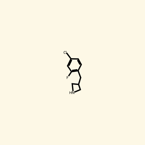 Fc1cc(Cl)ccc1CC1CNC1